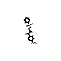 CSc1ccc(C(=O)/C(C)=N/OS(=O)(=O)c2ccccc2)cc1